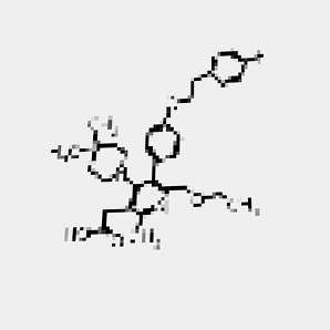 CCOCc1nc(C)c(CC(=O)O)c(N2CCC(C)(C)CC2)c1-c1ccc(OCCc2ccc(F)cc2)cc1